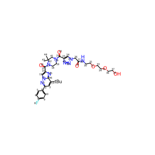 CC(C)(C)c1cc(-c2ccc(F)cc2)nn2cc(C(=O)N3CCN(C(=O)c4cn(CC(=O)NCCOCCOCCO)nn4)CC3(C)C)nc12